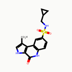 O=C(O)c1c[nH]c2c(=O)[nH]c3ccc(S(=O)(=O)NCC4CC4)cc3c12